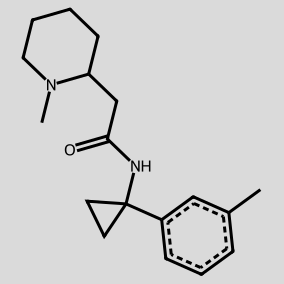 Cc1cccc(C2(NC(=O)CC3CCCCN3C)CC2)c1